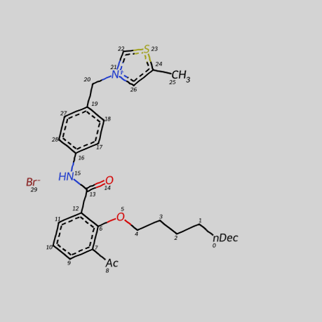 CCCCCCCCCCCCCCOc1c(C(C)=O)cccc1C(=O)Nc1ccc(C[n+]2csc(C)c2)cc1.[Br-]